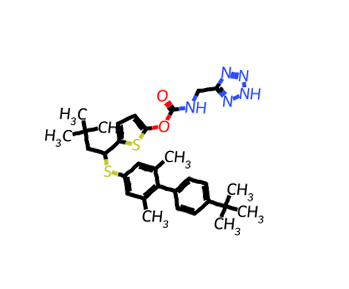 Cc1cc(SC(CC(C)(C)C)c2ccc(OC(=O)NCc3nn[nH]n3)s2)cc(C)c1-c1ccc(C(C)(C)C)cc1